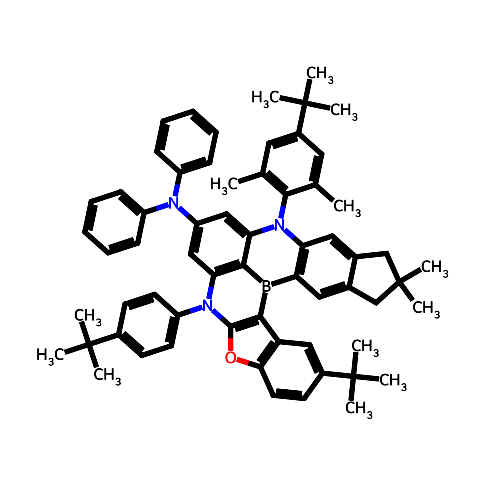 Cc1cc(C(C)(C)C)cc(C)c1N1c2cc3c(cc2B2c4c(cc(N(c5ccccc5)c5ccccc5)cc41)N(c1ccc(C(C)(C)C)cc1)c1oc4ccc(C(C)(C)C)cc4c12)CC(C)(C)C3